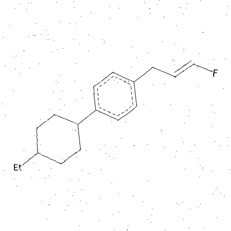 CCC1CCC(c2ccc(C/C=C/F)cc2)CC1